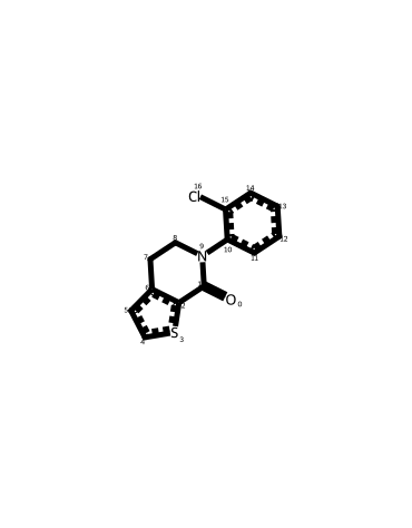 O=C1c2sccc2CCN1c1ccccc1Cl